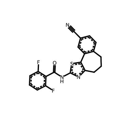 N#Cc1ccc2c(c1)-c1sc(NC(=O)c3c(F)cccc3F)nc1CCC2